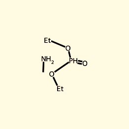 CCO[PH](=O)OCC.CN